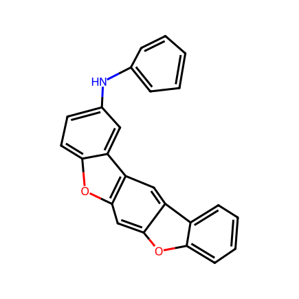 c1ccc(Nc2ccc3oc4cc5oc6ccccc6c5cc4c3c2)cc1